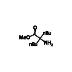 CCCCC(N)(CCCC)C(=O)OC